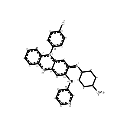 COC1CCC(N=c2cc3n(-c4ccc(Cl)cc4)c4ccccc4nc-3cc2Nc2cccnc2)CC1